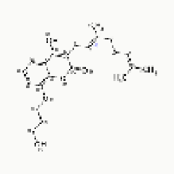 CC(C)=CCC/C(C)=C/Cc1c(O)c2cccc(OCCCO)c2oc1=O